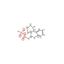 CS(=O)(=O)OC(=O)CC(Cc1ccccc1)C1CCCCC1